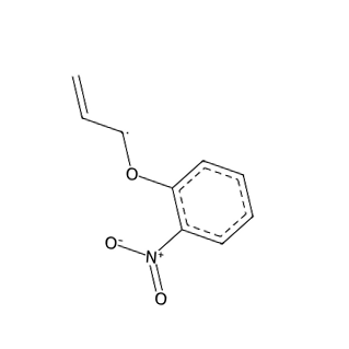 C=C[CH]Oc1ccccc1[N+](=O)[O-]